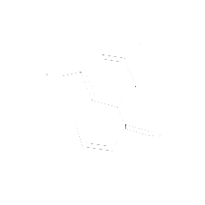 CC(=O)c1cc(C(F)(F)F)cc2c(=O)cc(Br)oc12